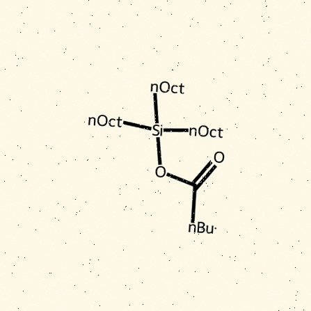 CCC[CH]C(=O)O[Si](CCCCCCCC)(CCCCCCCC)CCCCCCCC